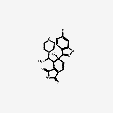 CC(C1C2=C(C=CC1(C)c1n[nH]c3cc(F)ccc13)C(=O)NC2=O)N1CCNCC1